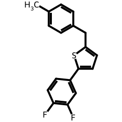 Cc1ccc(Cc2ccc(-c3ccc(F)c(F)c3)s2)cc1